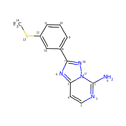 Nc1nccc2nc(-c3cccc(SC(F)(F)F)c3)nn12